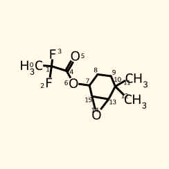 CC(F)(F)C(=O)OC1CCC(C)(C)C2OC12